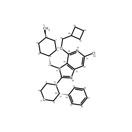 C[C@H]1CC[C@H](Cn2c(N3CCOC[C@H]3c3ccccc3)nc3cc(Cl)nc(OCC4CCC4)c32)CC1